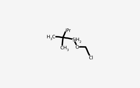 CC(C)C(C)(C)[SiH2]OCCl